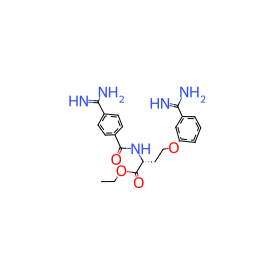 CCOC(=O)[C@@H](CCOc1cccc(C(=N)N)c1)NC(=O)c1ccc(C(=N)N)cc1